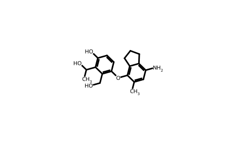 Cc1cc(N)c2c(c1Oc1ccc(O)c(C(C)O)c1CO)CCC2